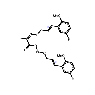 COc1ccc(F)cc1/C=C/CON=C(C)C(=O)ONOC/C=C/c1cc(F)ccc1OC